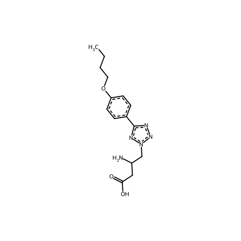 CCCCOc1ccc(-c2nnn(CC(N)CC(=O)O)n2)cc1